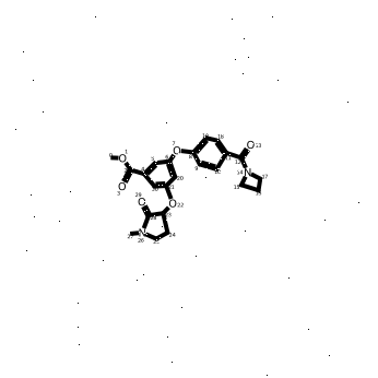 COC(=O)c1cc(Oc2ccc(C(=O)N3CCC3)cc2)cc(OC2CCN(C)C2=O)c1